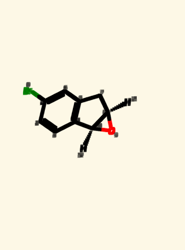 Brc1ccc2c(c1)C[C@H]1O[C@@H]21